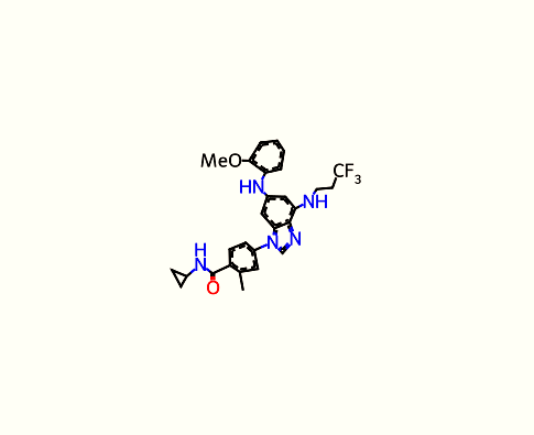 COc1ccccc1Nc1cc(NCCC(F)(F)F)c2ncn(-c3ccc(C(=O)NC4CC4)c(C)c3)c2c1